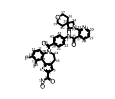 O=NC(=O)c1cc2c(s1)-c1c(ccc(F)c1F)N(C(=O)c1ccc(NC(=O)c3cccnc3N3CC4(CCOCC4)C3)cc1)CC2